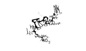 CCCCCC(NC(=O)C(NC(=O)CN)C(C)C)C(=O)N1CCCC1C(=O)N1CCCC1C(=O)NC(C)CCCN/C(N)=N/[N+](=O)[O-]